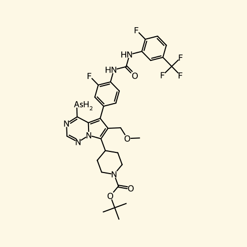 COCc1c(-c2ccc(NC(=O)Nc3cc(C(F)(F)F)ccc3F)c(F)c2)c2c([AsH2])ncnn2c1C1CCN(C(=O)OC(C)(C)C)CC1